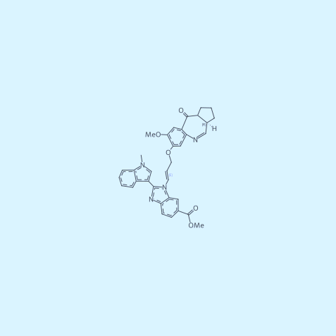 COC(=O)c1ccc2nc(-c3cn(C)c4ccccc34)n(/C=C/COc3cc4c(cc3OC)C(=O)C3CCC[C@H]3C=N4)c2c1